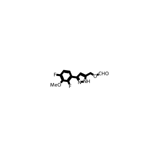 COc1c(F)ccc(-c2cc(COC=O)[nH]n2)c1F